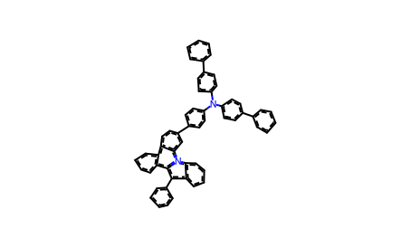 c1ccc(-c2ccc(N(c3ccc(-c4ccccc4)cc3)c3ccc(-c4ccc5c6ccccc6c6c(-c7ccccc7)c7ccccc7n6c5c4)cc3)cc2)cc1